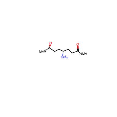 CNC(=O)CCC(N)CCC(=O)NC